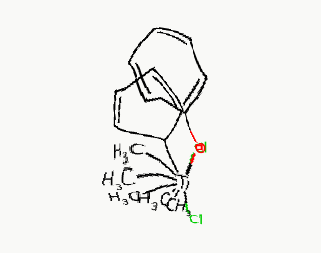 [CH3][Ti]([CH3])([CH3])([CH3])([CH3])([Cl])([Cl])([O]c1ccccc1)[CH]1C=CC=C1